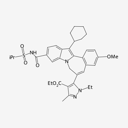 CCOC(=O)c1c(C)nn(CC)c1C1=Cc2cc(OC)ccc2-c2c(C3CCCCC3)c3ccc(C(=O)NS(=O)(=O)C(C)C)cc3n2C1